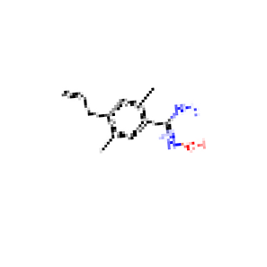 C=CCc1cc(C)c(/C(N)=N/O)cc1C